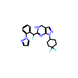 FC(C1=Nc2c(cnn2C2CCC(F)(F)CC2)CN1)c1ccccc1-n1cccn1